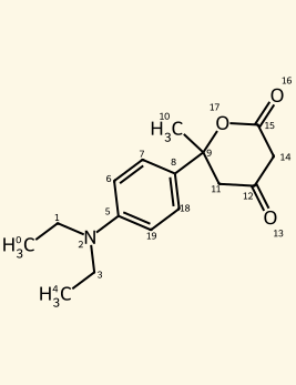 CCN(CC)c1ccc(C2(C)CC(=O)CC(=O)O2)cc1